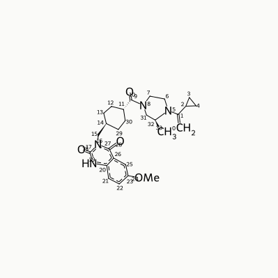 C=C(C1CC1)N1CCN(C(=O)[C@H]2CC[C@H](Cn3c(=O)[nH]c4ccc(OC)cc4c3=O)CC2)C[C@@H]1C